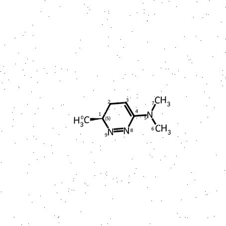 C[C@H]1CC=C(N(C)C)N=N1